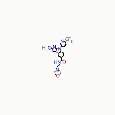 Cn1cc2c3cc(C(=O)NCCN4CCOCC4)ccc3n(-c3ccc(C(F)(F)F)nc3)c2n1